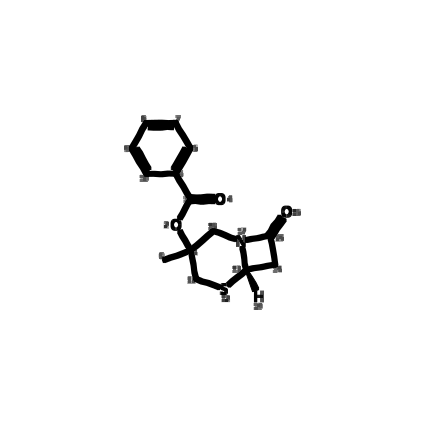 CC1(OC(=O)c2ccccc2)CS[C@H]2CC(=O)N2C1